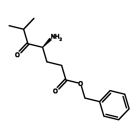 CC(C)C(=O)[C@@H](N)CCC(=O)OCc1ccccc1